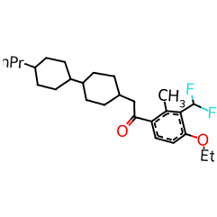 CCCC1CCC(C2CCC(CC(=O)c3ccc(OCC)c(C(F)F)c3C)CC2)CC1